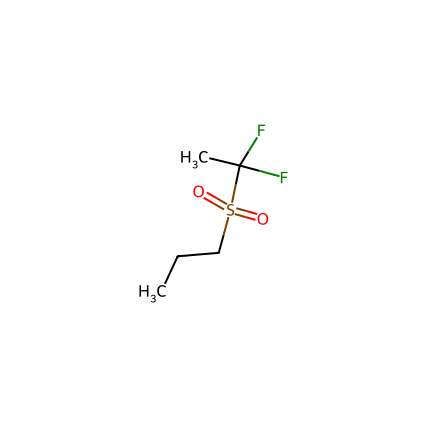 CCCS(=O)(=O)C(C)(F)F